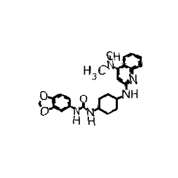 CN(C)c1cc(NC2CCC(NC(=O)Nc3ccc4c(c3)OCO4)CC2)nc2ccccc12